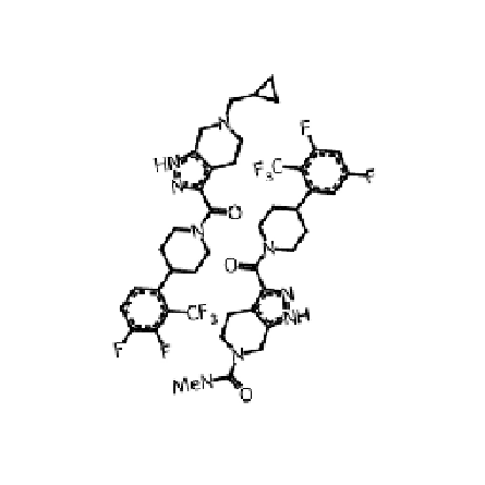 CNC(=O)N1CCc2c(C(=O)N3CCC(c4cc(F)cc(F)c4C(F)(F)F)CC3)n[nH]c2C1.O=C(c1n[nH]c2c1CCN(CC1CC1)C2)N1CCC(c2ccc(F)c(F)c2C(F)(F)F)CC1